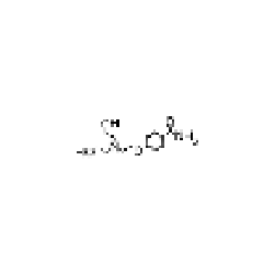 NC(=O)c1ccc(OCCN(CCO)CCO)cc1